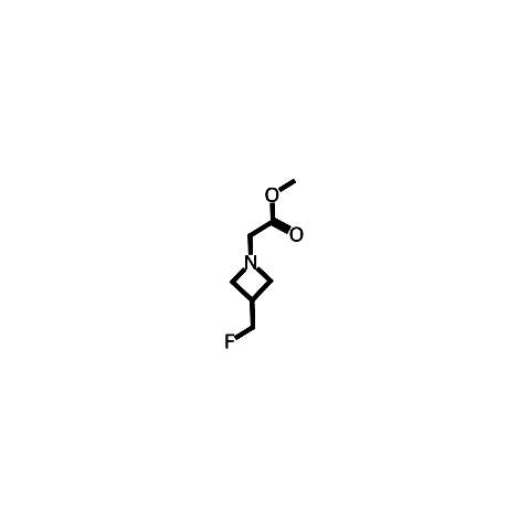 COC(=O)CN1CC(CF)C1